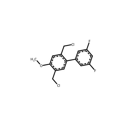 COc1cc(CCl)c(-c2cc(F)cc(F)c2)cc1CCl